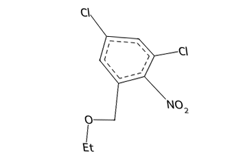 CCOCc1cc(Cl)cc(Cl)c1[N+](=O)[O-]